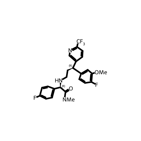 CNC(=O)[C@H](NCC[C@@H](c1ccc(C(F)(F)F)nc1)c1ccc(F)c(OC)c1)c1ccc(F)cc1